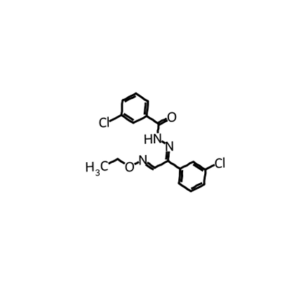 CCON=CC(=NNC(=O)c1cccc(Cl)c1)c1cccc(Cl)c1